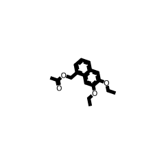 CCOc1cc2cccc(COC(C)=O)c2cc1OCC